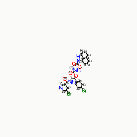 CC(NC(=O)OC(CNC(=O)c1cncc(Br)c1)c1ccc(Br)cc1)OC(=O)Nc1cccc2ccccc12